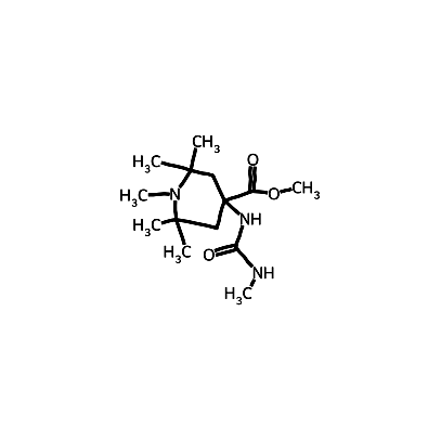 CNC(=O)NC1(C(=O)OC)CC(C)(C)N(C)C(C)(C)C1